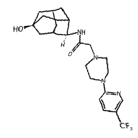 O=C(CN1CCN(c2ccc(C(F)(F)F)cn2)CC1)N[C@H]1C2CC3CC1C[C@@](O)(C3)C2